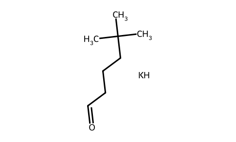 CC(C)(C)CCCC=O.[KH]